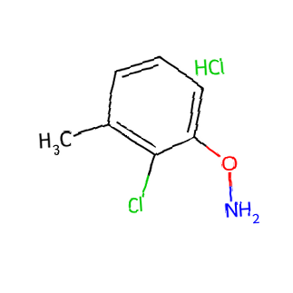 Cc1cccc(ON)c1Cl.Cl